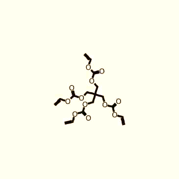 C=COC(=O)OCC(COC(=O)OC=C)(COC(=O)OC=C)COC(=O)OC=C